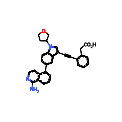 Nc1nccc2c(-c3ccc4c(c3)c(C#Cc3ccccc3CC(=O)O)cn4C3CCOC3)cccc12